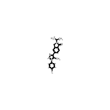 Cc1c(-c2ccc3c(c2)CN(C(C)C)C3=O)nnn1-c1ccc(F)cc1